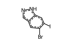 Brc1cc2cn[nH]c2cc1I